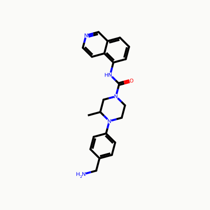 CC1CN(C(=O)Nc2cccc3cnccc23)CCN1c1ccc(CN)cc1